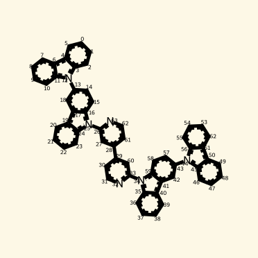 c1ccc2c(c1)c1ccccc1n2-c1ccc2c(c1)c1ccccc1n2-c1cc(-c2ccnc(-n3c4ccccc4c4cc(-n5c6ccccc6c6ccccc65)ccc43)c2)ccn1